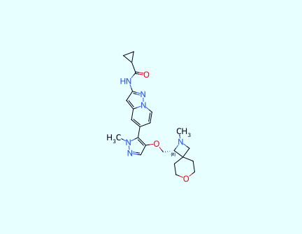 CN1CC2(CCOCC2)[C@@H]1COc1cnn(C)c1-c1ccn2nc(NC(=O)C3CC3)cc2c1